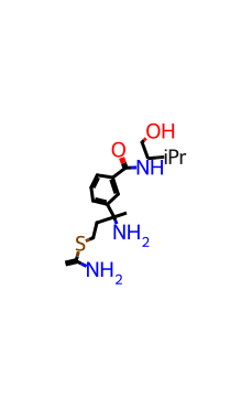 C=C(N)SCCC(C)(N)c1cccc(C(=O)NC(CO)C(C)C)c1